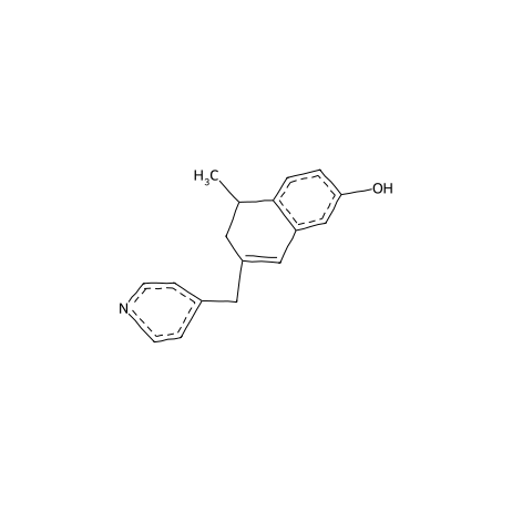 CC1CC(Cc2ccncc2)=Cc2cc(O)ccc21